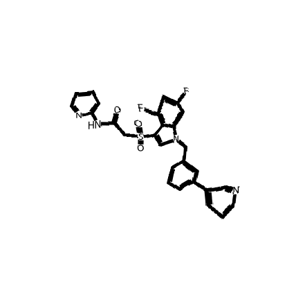 O=C(CS(=O)(=O)c1cn(Cc2cccc(-c3cccnc3)c2)c2cc(F)cc(F)c12)Nc1ccccn1